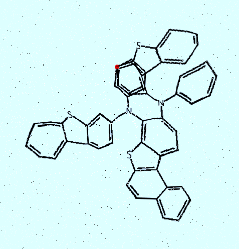 c1ccc(N(c2ccc3c(c2)sc2ccccc23)c2c(N(c3ccccc3)c3cccc4sc5ccccc5c34)ccc3c2sc2ccc4ccccc4c23)cc1